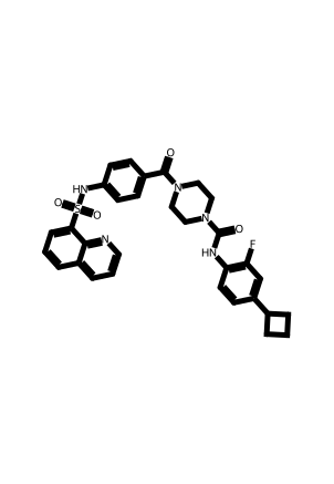 O=C(Nc1ccc(C2CCC2)cc1F)N1CCN(C(=O)c2ccc(NS(=O)(=O)c3cccc4cccnc34)cc2)CC1